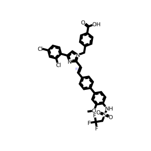 COc1cc(-c2ccc(/C=C/c3nc(-c4ccc(Cl)cc4Cl)cn3Cc3ccc(C(=O)O)cc3)cc2)ccc1NS(=O)(=O)CC(F)(F)F